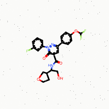 O=C(NC(CO)C1CCOC1)c1cc(-c2ccc(OC(F)F)cc2)nn(-c2cccc(F)c2)c1=O